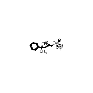 CC(C)(CC(=O)COP(=O)(O)O)c1ccccc1